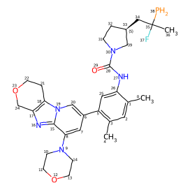 Cc1cc(C)c(-c2cc(N3CCOCC3)c3nc4c(n3c2)CCOC4)cc1NC(=O)N1CC[C@@H](CC(C)(F)P)C1